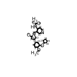 COc1ccc([C@@H]2CC(=O)N(Cc3cnccc3NC(C)=O)C2)cc1OC1CCCC1